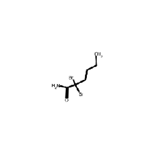 CCCCC(Br)(Br)C(N)=O